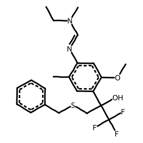 CCN(C)/C=N/c1cc(OC)c(C(O)(CSCc2ccccc2)C(F)(F)F)cc1C